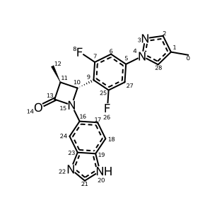 Cc1cnn(-c2cc(F)c([C@H]3[C@H](C)C(=O)N3c3ccc4[nH]cnc4c3)c(F)c2)c1